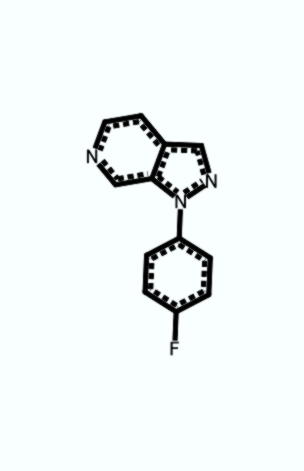 Fc1ccc(-n2ncc3ccncc32)cc1